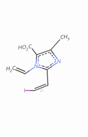 C=Cn1c(/C=C\I)nc(C)c1C(=O)O